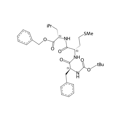 CSCC[C@H](NC(=O)[C@H](Cc1ccccc1)NC(=O)OC(C)(C)C)C(=O)N[C@@H](CC(C)C)C(=O)OCc1ccccc1